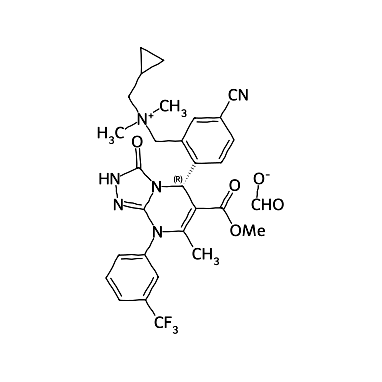 COC(=O)C1=C(C)N(c2cccc(C(F)(F)F)c2)c2n[nH]c(=O)n2[C@@H]1c1ccc(C#N)cc1C[N+](C)(C)CC1CC1.O=C[O-]